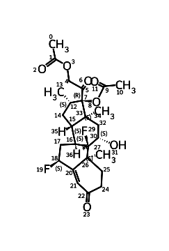 CC(=O)OCC(=O)[C@@]1(OC(C)=O)[C@@H](C)C[C@H]2[C@@H]3C[C@H](F)C4=CC(=O)CC[C@]4(C)[C@@]3(F)[C@@H](O)C[C@@]21C